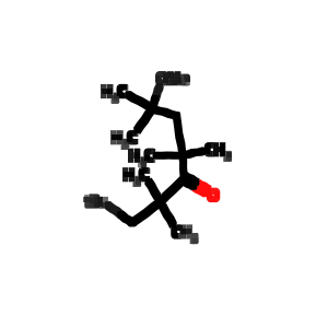 COC(C)(C)CC(C)(C)C(=O)C(C)(C)CC(C)(C)C